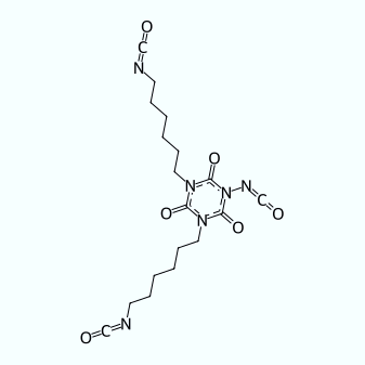 O=C=NCCCCCCn1c(=O)n(CCCCCCN=C=O)c(=O)n(N=C=O)c1=O